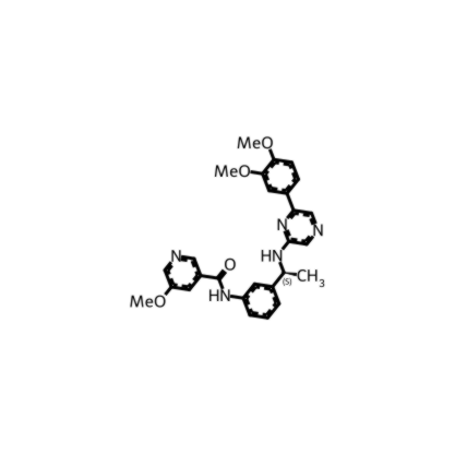 COc1cncc(C(=O)Nc2cccc([C@H](C)Nc3cncc(-c4ccc(OC)c(OC)c4)n3)c2)c1